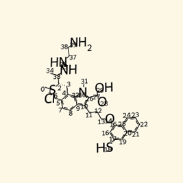 CS[C@@H](Cc1c(Cl)ccc2c(CCCOc3cc(S)cc4ccccc34)c(C(=O)O)n(C)c12)C(C)NNCCN